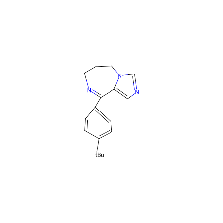 CC(C)(C)c1ccc(C2=NCCCn3cncc32)cc1